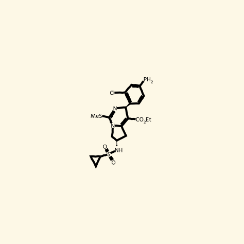 CCOC(=O)C1=C2C[C@H](NS(=O)(=O)C3CC3)CN2C(SC)=N[C@H]1c1ccc(P)cc1Cl